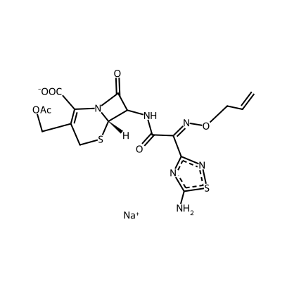 C=CCON=C(C(=O)NC1C(=O)N2C(C(=O)[O-])=C(COC(C)=O)CS[C@@H]12)c1nsc(N)n1.[Na+]